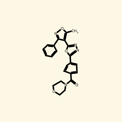 Cc1onc(-c2ccccc2)c1-c1nnc(-c2ccc(C(=O)N3CCOCC3)cc2)o1